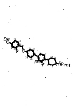 CCCCCC1CCC(c2ccc(-c3ccc(OCc4ccc(OCC)cc4F)cc3)c(F)c2F)CC1